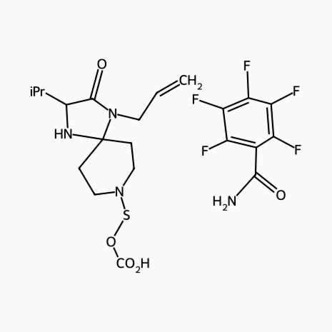 C=CCN1C(=O)C(C(C)C)NC12CCN(SOC(=O)O)CC2.NC(=O)c1c(F)c(F)c(F)c(F)c1F